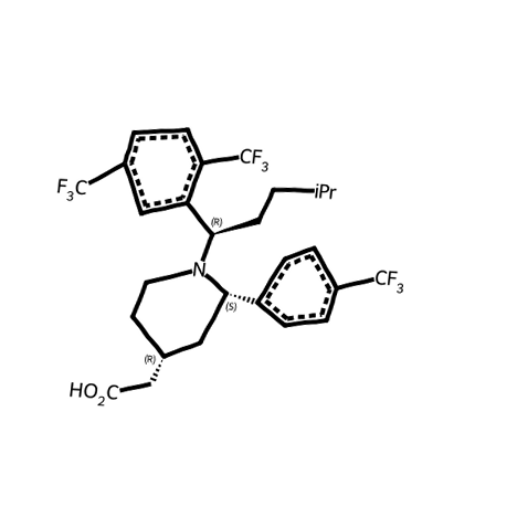 CC(C)CC[C@H](c1cc(C(F)(F)F)ccc1C(F)(F)F)N1CC[C@@H](CC(=O)O)C[C@H]1c1ccc(C(F)(F)F)cc1